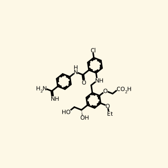 CCOc1cc([C@H](O)CO)cc(CNc2ccc(Cl)cc2C(=O)Nc2ccc(C(=N)N)cc2)c1OCC(=O)O